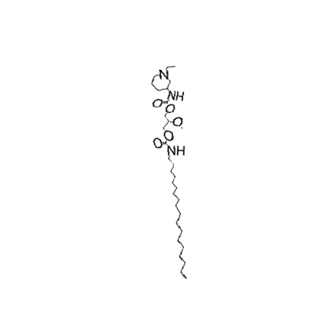 CCCCCCCCCCCCCCCCCCNC(=O)OCC(COC(=O)NC1CCCN(CC)C1)OC